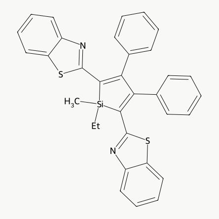 CC[Si]1(C)C(c2nc3ccccc3s2)=C(c2ccccc2)C(c2ccccc2)=C1c1nc2ccccc2s1